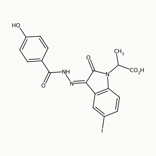 CC(C(=O)O)N1C(=O)/C(=N\NC(=O)c2ccc(O)cc2)c2cc(I)ccc21